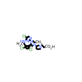 C[C@@H]1CN2c3ncc(Cl)c(n3)N[C@H](C)c3cc(c(Cl)cc3Cl)[C@H]2CN1C1CCCN(CCC(=O)O)C1